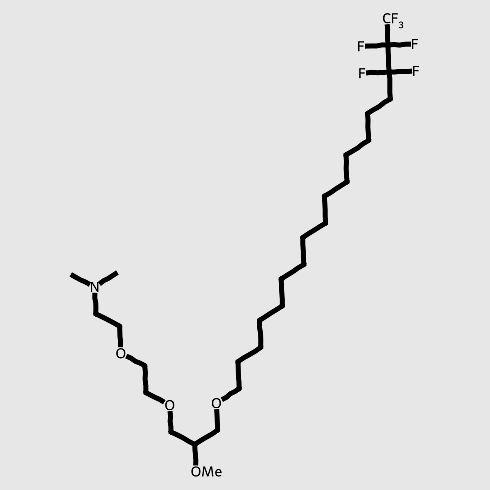 COC(COCCCCCCCCCCCCCCCC(F)(F)C(F)(F)C(F)(F)F)COCCOCCN(C)C